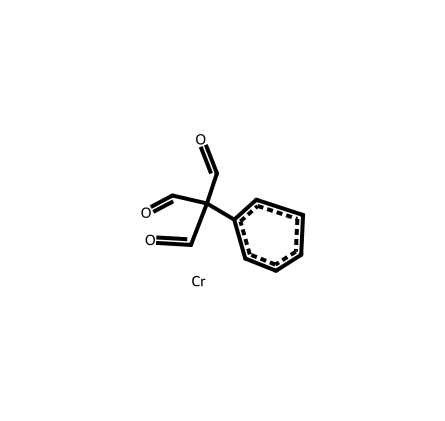 O=CC(C=O)(C=O)c1ccccc1.[Cr]